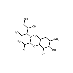 CC(N)C(OC(CN)C(O)CO)OC1C(N)CC(N)C(O)C1O